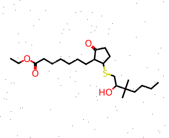 CCCCC(C)(C)C(O)CSC1CCC(=O)C1CCCCCCC(=O)OCC